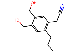 CCCc1cc(CO)c(CO)cc1CC#N